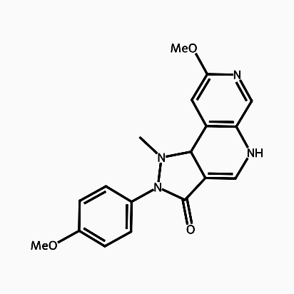 COc1ccc(N2C(=O)C3=CNc4cnc(OC)cc4C3N2C)cc1